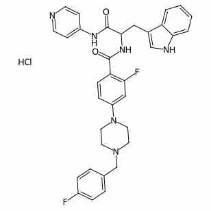 Cl.O=C(NC(Cc1c[nH]c2ccccc12)C(=O)Nc1ccncc1)c1ccc(N2CCN(Cc3ccc(F)cc3)CC2)cc1F